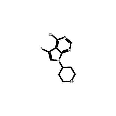 Fc1cn(C2CCNCC2)c2ncnc(Cl)c12